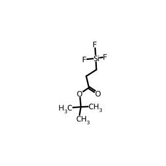 CC(C)(C)OC(=O)CC[Si](F)(F)F